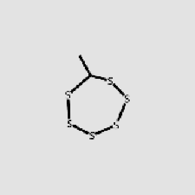 CC1SSSSSS1